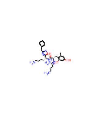 Cc1cc(O)cc(O)c1C[C@H](N[C@@H](N)CCCN)C(=O)N[C@H](CCCCN)c1nc(Cc2ccccc2)no1